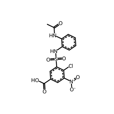 CC(=O)Nc1ccccc1NS(=O)(=O)c1cc(C(=O)O)cc([N+](=O)[O-])c1Cl